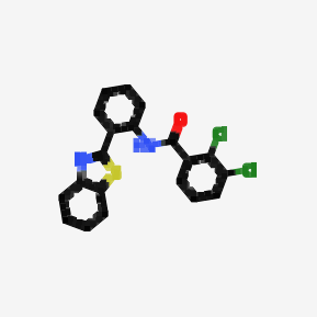 O=C(Nc1ccccc1-c1nc2ccccc2s1)c1cccc(Cl)c1Cl